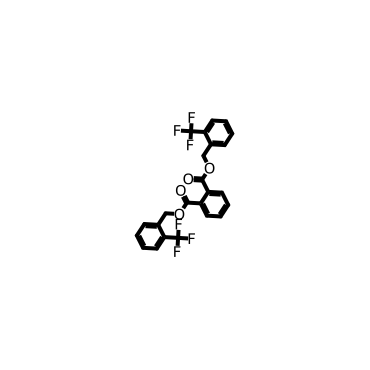 O=C(OCc1ccccc1C(F)(F)F)c1ccccc1C(=O)OCc1ccccc1C(F)(F)F